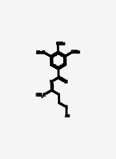 COc1cc(C(=O)N=C(CCSC(C)=O)C(=O)O)cc(OC)c1OC